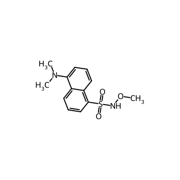 CONS(=O)(=O)c1cccc2c(N(C)C)cccc12